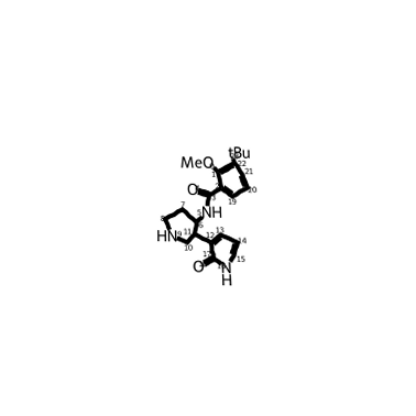 COc1c(C(=O)NC2CCNCC2c2ccc[nH]c2=O)cccc1C(C)(C)C